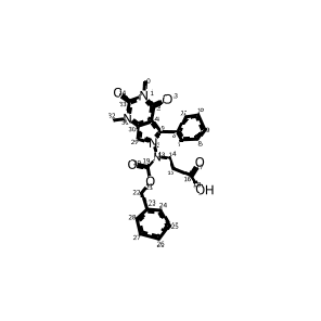 Cn1c(=O)c2c(-c3ccccc3)n(N(CCC(=O)O)C(=O)OCc3ccccc3)cc2n(C)c1=O